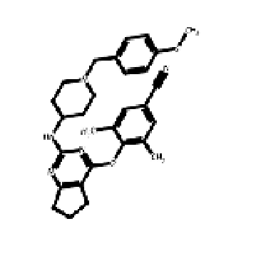 CSc1ccc(CN2CCC(Nc3nc4c(c(Oc5c(C)cc(C#N)cc5C)n3)CCC4)CC2)cc1